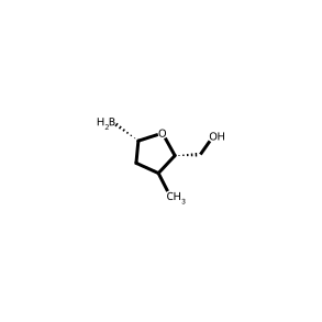 B[C@H]1CC(C)[C@@H](CO)O1